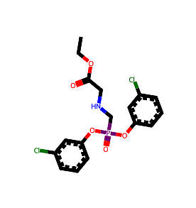 CCOC(=O)CNCP(=O)(Oc1cccc(Cl)c1)Oc1cccc(Cl)c1